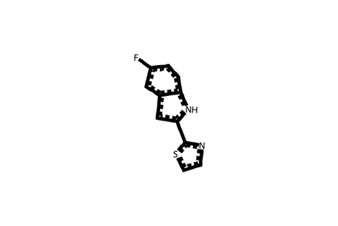 Fc1ccc2[nH]c(-c3nccs3)cc2c1